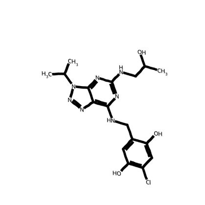 CC(O)CNc1nc(NCc2cc(O)c(Cl)cc2O)c2nnn(C(C)C)c2n1